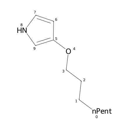 CCCCCCCCOc1cc[nH]c1